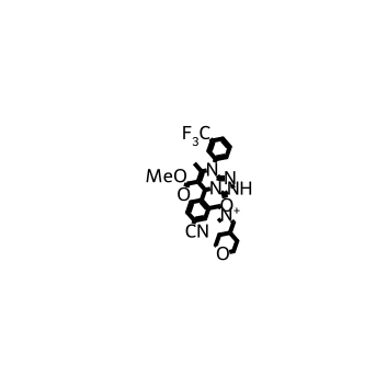 COC(=O)C1=C(C)N(c2cccc(C(F)(F)F)c2)c2n[nH]c(=O)n2C1c1ccc(C#N)cc1C[N+](C)(C)CC1CCOCC1